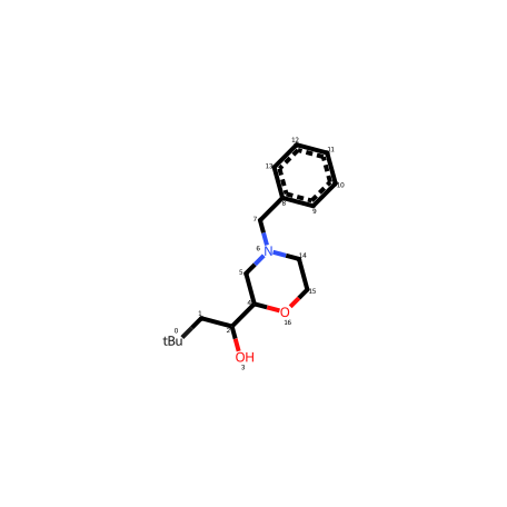 CC(C)(C)CC(O)C1CN(Cc2ccccc2)CCO1